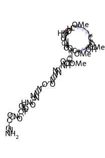 CO[C@H]1C[C@@H]2CC[C@@H](C)[C@@](O)(O2)C(=O)C(=O)N2CCCC[C@H]2C(=O)O[C@H]([C@H](C)C[C@@H]2CC[C@@H](OC(=O)NCc3cnc(N4CCN(C(=O)CCOCCN5CCN(c6ncc(C(=O)NCCS(=O)(=O)c7ccc(C(=O)N8CCOc9ccc(-c%10ccc(N)nc%10)cc9C8)c(C)c7F)cn6)CC5)CC4)nc3)[C@H](OC)C2)C[C@@H](OC)[C@H](C)/C=C(\C)[C@@H](O)[C@@H](OC)C(=O)[C@H](C)C[C@H](C)/C=C/C=C/C=C/1C